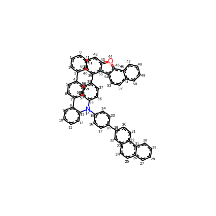 c1ccc(-c2ccc(-c3ccccc3N(c3ccc(-c4ccc5c(ccc6ccccc65)c4)cc3)c3ccc(-c4cccc5oc6c7ccccc7ccc6c45)cc3)cc2)cc1